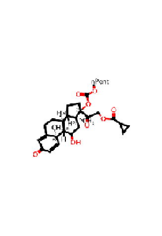 CCCCCOC(=O)O[C@]1(C(=O)COC(=O)C2CC2)CC[C@H]2[C@@H]3CCC4=CC(=O)C=C[C@]4(C)[C@H]3C(O)C[C@@]21C